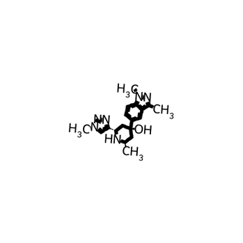 Cc1nn(C)c2ccc([C@@]3(O)C[C@@H](c4cn(C)nn4)N[C@@H](C)C3)cc12